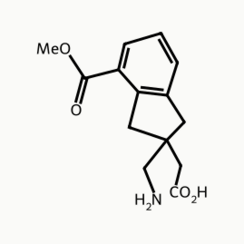 COC(=O)c1cccc2c1CC(CN)(CC(=O)O)C2